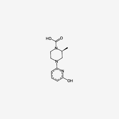 C[C@H]1CN(c2cccc(O)n2)CCN1C(=O)O